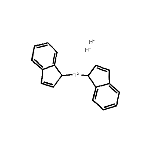 C1=C[CH]([Ti+2][CH]2C=Cc3ccccc32)c2ccccc21.[H-].[H-]